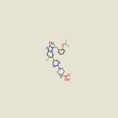 Cc1nc2cc(F)c(-c3cnc(N4CCC5(C(=O)O)CC5C4)nc3)cn2c1Cc1ccccc1OC(F)F